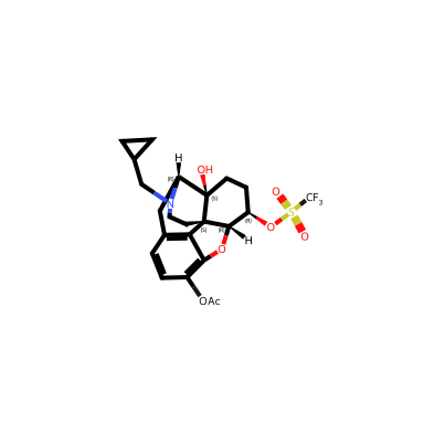 CC(=O)Oc1ccc2c3c1O[C@H]1[C@H](OS(=O)(=O)C(F)(F)F)CC[C@@]4(O)[C@@H](C2)N(CC2CC2)CC[C@]314